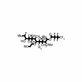 COC(C(OC(=O)C(F)(F)C(F)(F)C(F)(F)F)C(C)(C)C)C(C)(C)C(C)(C)C(OCCC#N)C(C)C(C)(C)C(C)(C)C(O)C(F)C(C)(C)C